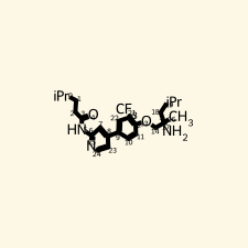 CC(C)CCC(=O)Nc1cc(-c2ccc(OCC(C)(N)CC(C)C)c(C(F)(F)F)c2)ccn1